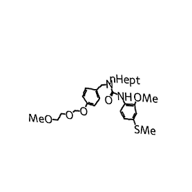 CCCCCCCN(Cc1ccc(OCOCCOC)cc1)C(=O)Nc1ccc(SC)cc1OC